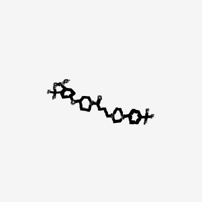 O=C(CCCN1CCN(c2ccc(C(F)(F)F)cc2)CC1)N1CCC(Oc2ccc([N+](=O)[O-])c(C(F)(F)F)c2)CC1